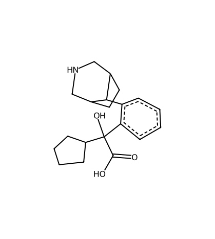 O=C(O)C(O)(c1ccccc1C1C2CCC1CNC2)C1CCCC1